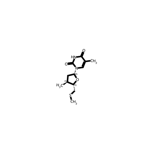 CSC[C@H]1O[C@@H](n2cc(C)c(=O)[nH]c2=O)C[C@@H]1C